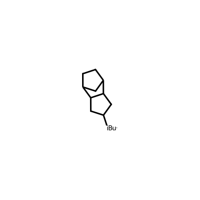 CC[C](C)C1CC2C3CCC(C3)C2C1